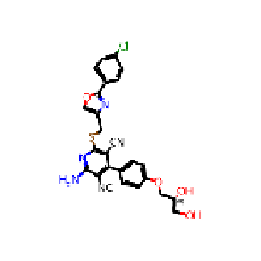 [C-]#[N+]c1c(N)nc(SCc2coc(-c3ccc(Cl)cc3)n2)c(C#N)c1-c1ccc(OC[C@H](O)CO)cc1